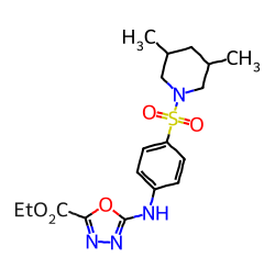 CCOC(=O)c1nnc(Nc2ccc(S(=O)(=O)N3CC(C)CC(C)C3)cc2)o1